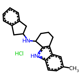 Cc1ccc2[nH]c3c(c2c1)CCCC3NC1Cc2ccccc2C1.Cl